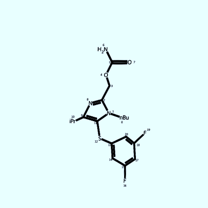 CCCCn1c(COC(N)=O)nc(C(C)C)c1Sc1cc(F)cc(F)c1